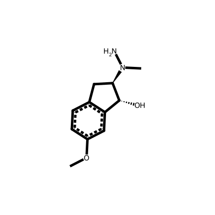 COc1ccc2c(c1)[C@@H](O)[C@H](N(C)N)C2